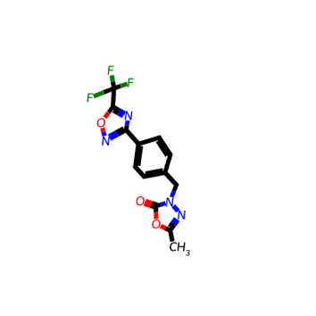 Cc1nn(Cc2ccc(-c3noc(C(F)(F)F)n3)cc2)c(=O)o1